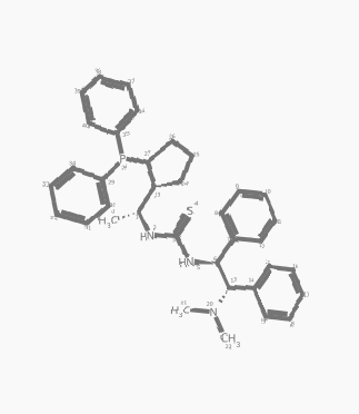 C[C@@H](NC(=S)N[C@@H](c1ccccc1)[C@H](c1ccccc1)N(C)C)[C@@H]1CCCC1P(c1ccccc1)c1ccccc1